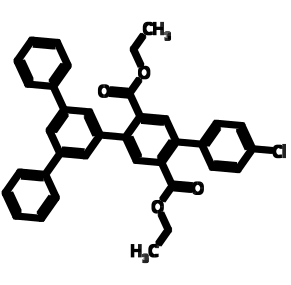 CCOC(=O)c1cc(-c2cc(-c3ccccc3)cc(-c3ccccc3)c2)c(C(=O)OCC)cc1-c1ccc(Cl)cc1